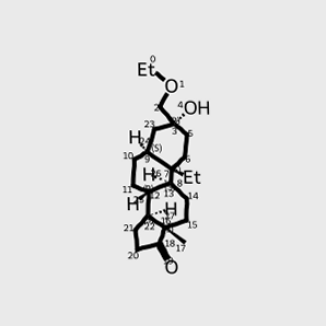 CCOC[C@@]1(O)CC[C@@]2(CC)[C@@H](CC[C@@H]3[C@@H]2CC[C@]2(C)C(=O)CC[C@@H]32)C1